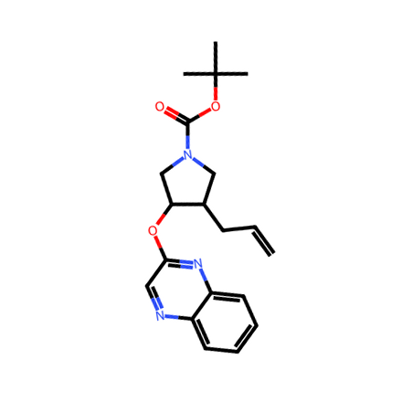 C=CCC1CN(C(=O)OC(C)(C)C)CC1Oc1cnc2ccccc2n1